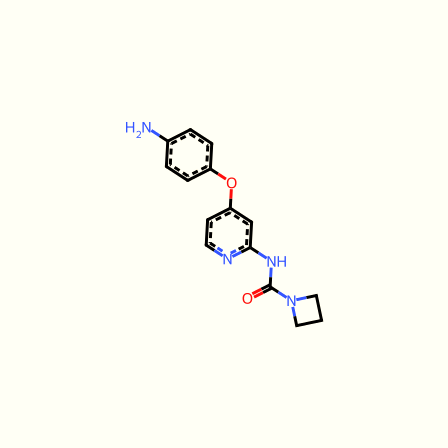 Nc1ccc(Oc2ccnc(NC(=O)N3CCC3)c2)cc1